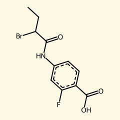 CCC(Br)C(=O)Nc1ccc(C(=O)O)c(F)c1